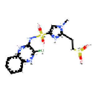 Cn1cc(S(=O)(=O)Nc2nc3ccccc3nc2Cl)nc1CC[SH](=O)=O